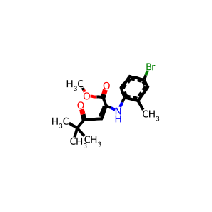 COC(=O)C(=CC(=O)C(C)(C)C)Nc1ccc(Br)cc1C